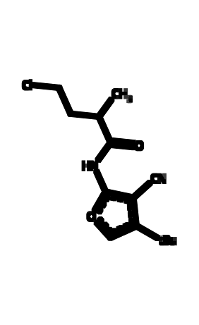 CC(CCCl)C(=O)Nc1occ(C(C)(C)C)c1C#N